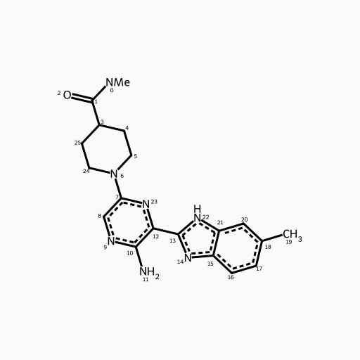 CNC(=O)C1CCN(c2cnc(N)c(-c3nc4ccc(C)cc4[nH]3)n2)CC1